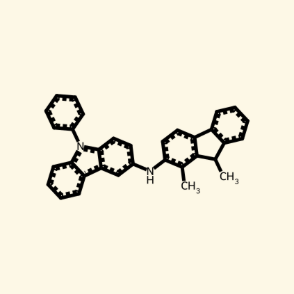 Cc1c(Nc2ccc3c(c2)c2ccccc2n3-c2ccccc2)ccc2c1C(C)c1ccccc1-2